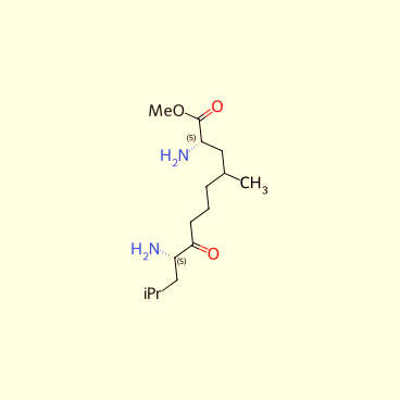 COC(=O)[C@@H](N)CC(C)CCCC(=O)[C@@H](N)CC(C)C